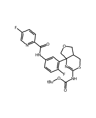 CC(C)(C)OC(=O)NC1=NC2(c3cc(NC(=O)c4ccc(F)cn4)ccc3F)COCC2CS1